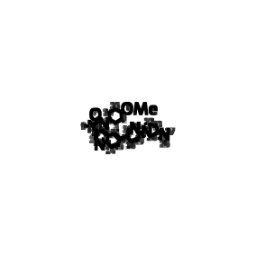 COC1CCC(n2c(=O)n(C)c3cnc4ccc(-c5ccc(N6CC[C@@H](N(C)C)C6)nc5)cc4c32)CC1